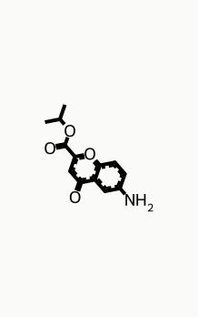 CC(C)OC(=O)c1cc(=O)c2cc(N)ccc2o1